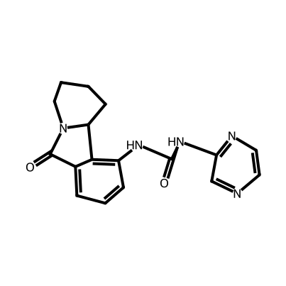 O=C(Nc1cnccn1)Nc1cccc2c1C1CCCCN1C2=O